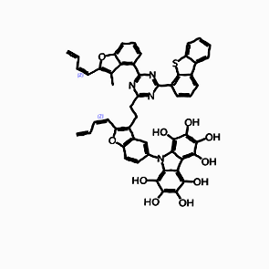 C=C/C=C\c1oc2ccc(-n3c4c(O)c(O)c(O)c(O)c4c4c(O)c(O)c(O)c(O)c43)cc2c1CCc1nc(-c2cccc3c2sc2ccccc23)nc(-c2cccc3oc(/C=C\C=C)c(C)c23)n1